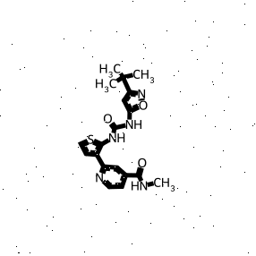 CNC(=O)c1ccnc(-c2ccsc2NC(=O)Nc2cc(C(C)(C)C)no2)c1